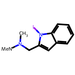 CNN(C)Cc1cc2ccccc2n1I